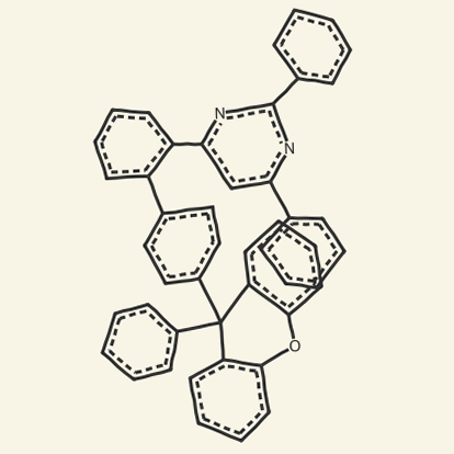 c1ccc(-c2cc(-c3ccccc3-c3ccc(C4(c5ccccc5)c5ccccc5Oc5ccccc54)cc3)nc(-c3ccccc3)n2)cc1